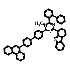 CN1C(c2ccccc2-c2ccccc2)=NC(c2cccc3c2sc2ccccc23)=NC1c1ccc(-c2ccc(-c3cc4ccccc4c4ccccc34)cc2)cc1